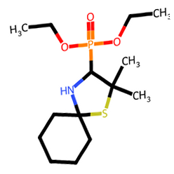 CCOP(=O)(OCC)C1NC2(CCCCC2)SC1(C)C